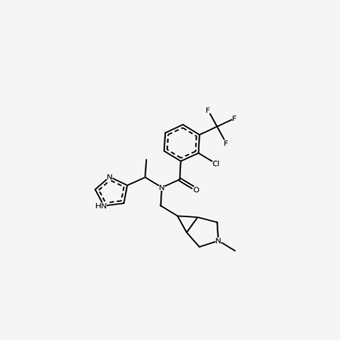 CC(c1c[nH]cn1)N(CC1C2CN(C)CC21)C(=O)c1cccc(C(F)(F)F)c1Cl